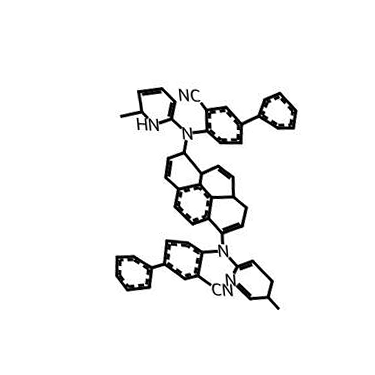 CC1C=NC(N(C2=CCC3C=CC4c5c(ccc2c53)C=CC4N(C2=CC=CC(C)N2)c2ccc(-c3ccccc3)cc2C#N)c2ccc(-c3ccccc3)cc2C#N)=CC1